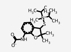 CC(C)[N+](C)(SC1c2cccc(NC(=O)[O-])c2OC1(C)C)C(C)C